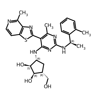 Cc1ccccc1[C@@H](C)Nc1nc(C)c(-c2nc3c(C)nccc3s2)c(N[C@@H]2C[C@H](CO)[C@@H](O)[C@H]2O)n1